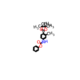 Cc1cc(NC(=O)Oc2ccccc2)ccc1B1OC(C)(C)C(C)(C)O1